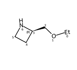 CCOC[C@H]1CCN1